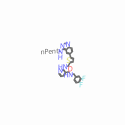 CCCCCNc1ncnc2ccc(-c3ccc(CNc4ncccc4C(=O)NCc4ccc(F)c(F)c4)s3)cc12